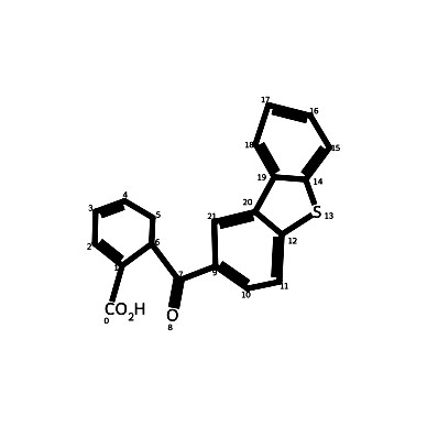 O=C(O)C1=CC=CCC1C(=O)c1ccc2sc3ccccc3c2c1